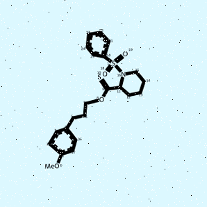 COc1ccc(CCCOC(=S)C2CCCCN2S(=O)(=O)c2ccccc2)cc1